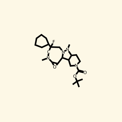 CN1CC(F)(C2CCCCC2)CN2C(C3CN(C(=O)OC(C)(C)C)CCC3N2C)C2OC21